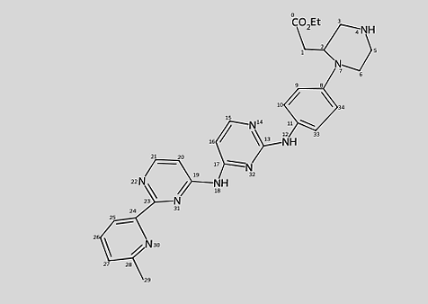 CCOC(=O)CC1CNCCN1c1ccc(Nc2nccc(Nc3ccnc(-c4cccc(C)n4)n3)n2)cc1